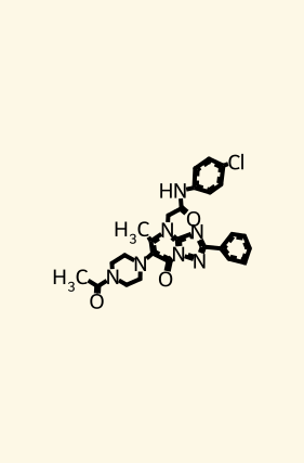 CC(=O)N1CCN(c2c(C)n(CC(=O)Nc3ccc(Cl)cc3)c3nc(-c4ccccc4)nn3c2=O)CC1